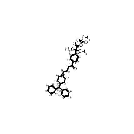 CC(C)(C(=O)OS(C)(=O)=O)c1ccc(C(=O)CCCN2CCC(C(c3ccccc3)c3ccccc3)CC2)cc1